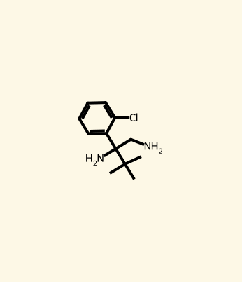 CC(C)(C)C(N)(CN)c1ccccc1Cl